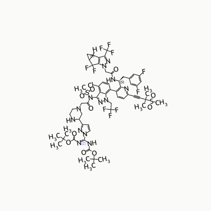 CC(C)(C)OC(=O)/N=C(/NC(=O)OC(C)(C)C)n1ccc(C2CN(CC(=O)N(c3nn(CC(F)(F)F)c4c(-c5ccc(C#CC(C)(C)S(C)(=O)=O)nc5[C@H](Cc5cc(F)cc(F)c5)NC(=O)Cn5nc(C(F)(F)F)c6c5C(F)(F)C5C[C@H]65)ccc(Cl)c34)S(C)(=O)=O)CCN2)n1